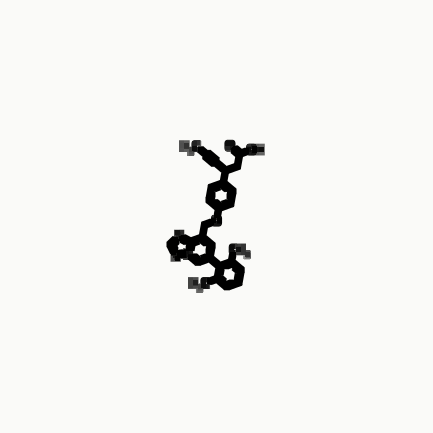 CC#CC(CC(=O)O)c1ccc(OCc2cc(-c3c(C)cccc3C)cn3ncnc23)cc1